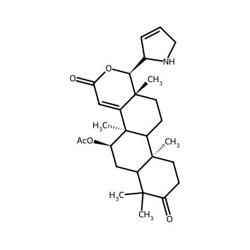 CC(=O)O[C@@H]1CC2C(C)(C)C(=O)CC[C@]2(C)C2CC[C@]3(C)C(=CC(=O)O[C@H]3C3C=CCN3)[C@@]21C